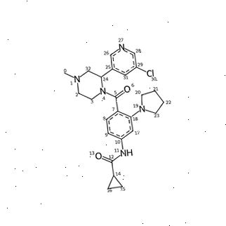 CN1CCN(C(=O)c2ccc(NC(=O)C3CC3)cc2N2CCCC2)C(c2cncc(Cl)c2)C1